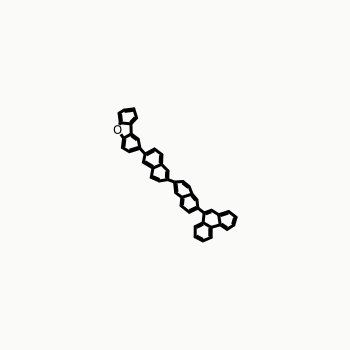 c1ccc2c(c1)cc(-c1ccc3cc(-c4ccc5cc(-c6ccc7oc8ccccc8c7c6)ccc5c4)ccc3c1)c1ccccc12